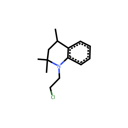 CC1CC(C)(C)N(CCCl)c2ccccc21